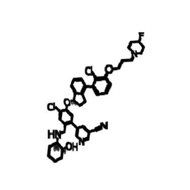 N#Cc1cncc(-c2cc(O[C@H]3CCc4c(-c5cccc(OCCCN6CCC(F)CC6)c5Cl)cccc43)c(Cl)cc2CN[C@@H]2CCCC[C@@H]2O)c1